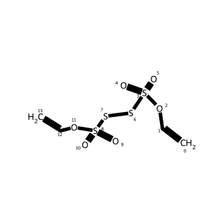 C=COS(=O)(=O)SSS(=O)(=O)OC=C